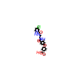 O=C(NCCNC(=O)c1cc(Cl)ccn1)c1ccc(O[C@H]2CC[C@@H](C(=O)O)CC2)cc1